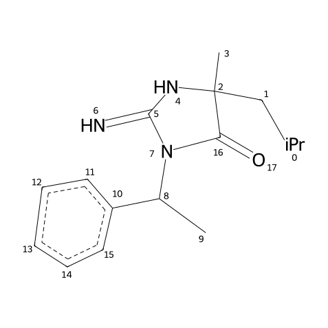 CC(C)CC1(C)NC(=N)N(C(C)c2ccccc2)C1=O